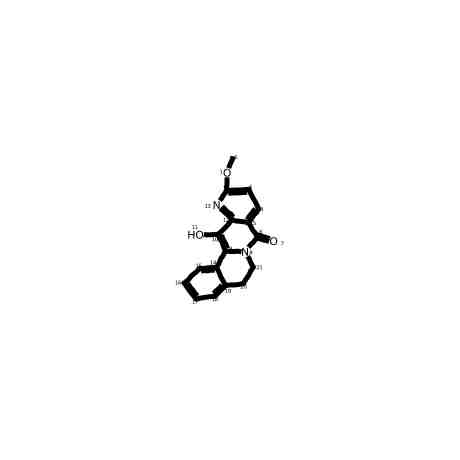 COc1ccc2c(=O)n3c(c(O)c2n1)-c1ccccc1CC3